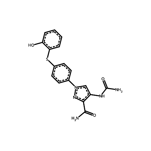 NC(=O)Nc1cn(-c2ccc(Sc3ccccc3O)cc2)nc1C(N)=O